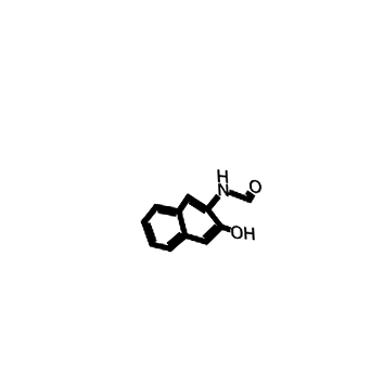 O=CNc1cc2ccccc2cc1O